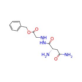 NC(=O)C[C@H](N)C(=O)NNCC(=O)OCc1ccccc1